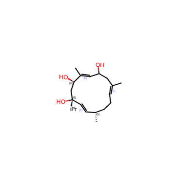 C/C1=C\CC[C@H](C)/C=C/[C@@](O)(C(C)C)C[C@@H](O)/C(C)=C/C(O)C1